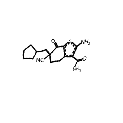 N#CC1(CC2CCCC2)CCc2c(sc(N)c2C(N)=O)C1=O